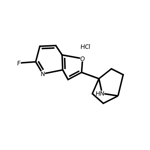 Cl.Fc1ccc2oc(C34CCC(CC3)N4)cc2n1